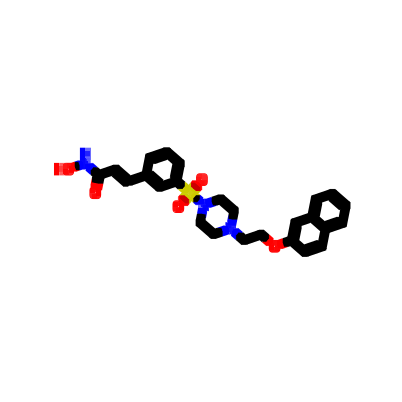 O=C(C=Cc1cccc(S(=O)(=O)N2CCN(CCOc3ccc4ccccc4c3)CC2)c1)NO